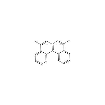 Cc1cc2cc(C)c3ccccc3c2c2ccccc12